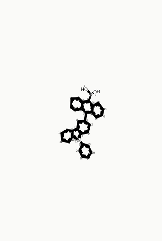 OB(O)c1c2ccccc2c(-c2ccc3c(c2)c2ccccc2n3-c2ccccc2)c2ccccc12